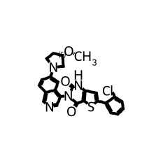 CO[C@H]1CCN(c2ccc3cncc(-n4c(=O)[nH]c5cc(-c6ccccc6Cl)sc5c4=O)c3c2)C1